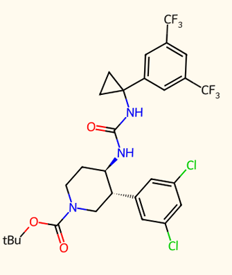 CC(C)(C)OC(=O)N1CC[C@@H](NC(=O)NC2(c3cc(C(F)(F)F)cc(C(F)(F)F)c3)CC2)[C@H](c2cc(Cl)cc(Cl)c2)C1